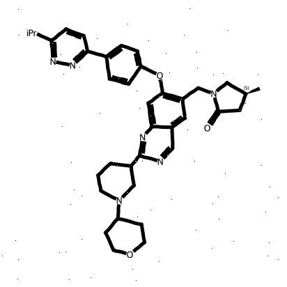 CC(C)c1ccc(-c2ccc(Oc3cc4nc(C5CCCN(C6CCOCC6)C5)ncc4cc3CN3C[C@@H](C)CC3=O)cc2)nn1